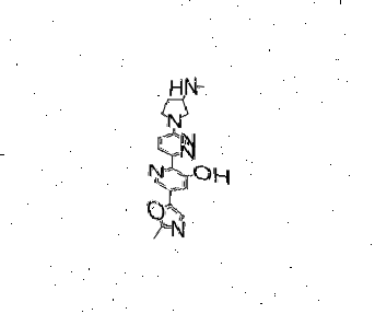 CN[C@@H]1CCN(c2ccc(-c3ncc(-c4cnc(C)o4)cc3O)nn2)C1